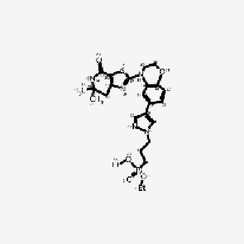 CCOP(=O)(CCCn1cc(-c2ccc3c(c2)N(c2nc4c(s2)C(=O)NC(C)(C)C4)CCO3)cn1)OCC